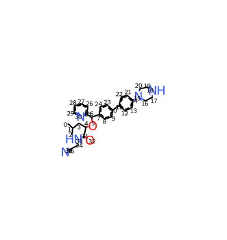 CC(C)CC(OC(c1ccc(-c2ccc(N3CCNCC3)cc2)cc1)c1ccccn1)C(=O)NCC#N